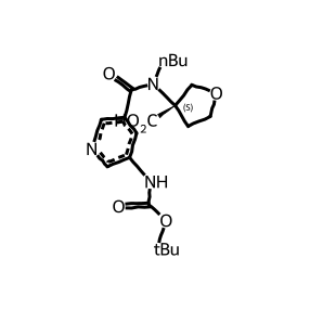 CCCCN(C(=O)c1cncc(NC(=O)OC(C)(C)C)c1)[C@@]1(C(=O)O)CCOC1